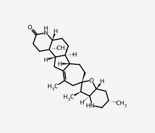 CC1=C2C[C@H]3[C@@H](CC[C@H]4NC(=O)CC[C@@]43C)[C@@H]2CC[C@@]2(C1)O[C@@H]1C[C@H](C)CN[C@H]1[C@H]2C